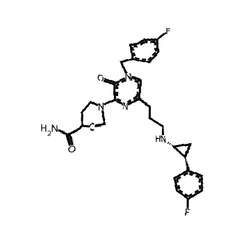 NC(=O)C1CCN(c2nc(CCCN[C@@H]3C[C@H]3c3ccc(F)cc3)cn(Cc3ccc(F)cc3)c2=O)CC1